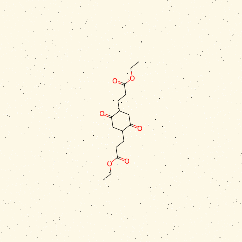 CCOC(=O)CCC1CC(=O)C(CCC(=O)OCC)CC1=O